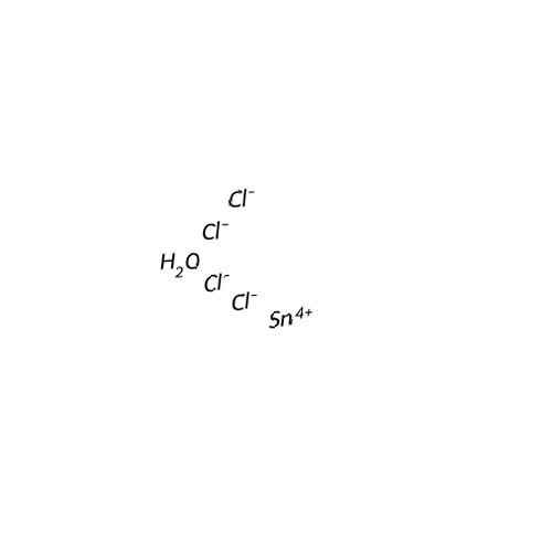 O.[Cl-].[Cl-].[Cl-].[Cl-].[Sn+4]